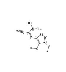 CCc1csc(C=C(C#N)C(=O)O)c1CC